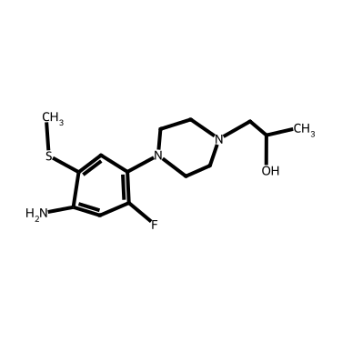 CSc1cc(N2CCN(CC(C)O)CC2)c(F)cc1N